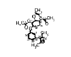 CC(=O)O[C@@H]1[C@@H](OC(C)=O)[C@H](OC(C)=O)CS[C@H]1Oc1cccc(-c2c(C)noc2C)c1